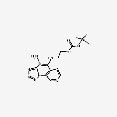 CC(C)(C)OC(=O)NCCNc1c(N)c2nnnn2c2cnccc12